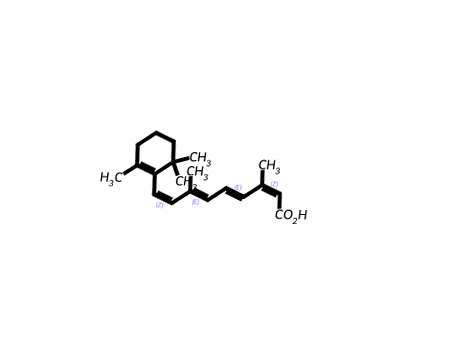 CC1=C(\C=C/C(C)=C/C=C/C(C)=C\C(=O)O)C(C)(C)CCC1